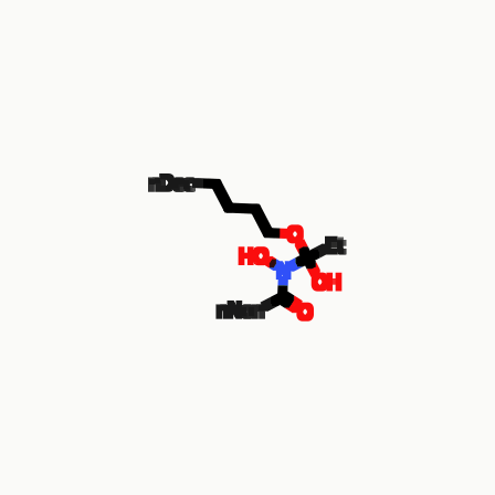 CCCCCCCCCCCCCCOC(O)(CC)N(O)C(=O)CCCCCCCCC